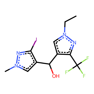 CCn1cc(C(O)c2cn(C)nc2I)c(C(F)(F)F)n1